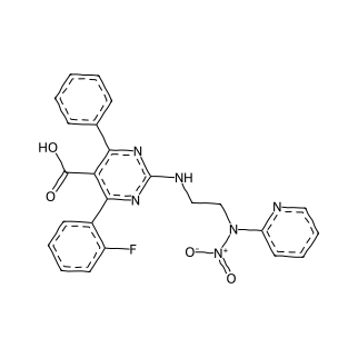 O=C(O)c1c(-c2ccccc2)nc(NCCN(c2ccccn2)[N+](=O)[O-])nc1-c1ccccc1F